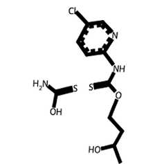 CC(O)CCOC(=S)Nc1ccc(Cl)cn1.NC(O)=S